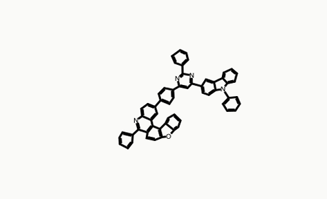 c1ccc(-c2nc(-c3ccc(-c4ccc5nc(-c6ccccc6)c6ccc7oc8ccccc8c7c6c5c4)cc3)cc(-c3ccc4c(c3)c3ccccc3n4-c3ccccc3)n2)cc1